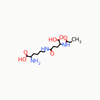 CCC(=O)NC(CCC(=O)NCCCCC(N)C(=O)O)C(=O)O